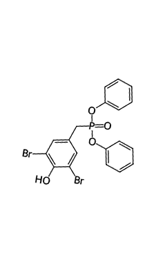 O=P(Cc1cc(Br)c(O)c(Br)c1)(Oc1ccccc1)Oc1ccccc1